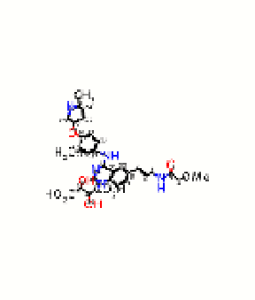 COCC(=O)NC/C=C/c1ccc2ncnc(Nc3ccc(Oc4ccc(C)nc4)c(C)c3)c2c1.O=C(O)C(O)C(O)C(=O)O